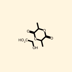 CC1OC(=O)C(C)OC1=O.O=C(O)CO